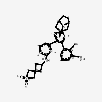 CN1CC2CCC(C1)N2c1nc(-c2cccc(N)c2F)c(-c2ccnc(NC3CC4(C3)CS(=O)(=O)C4)n2)s1